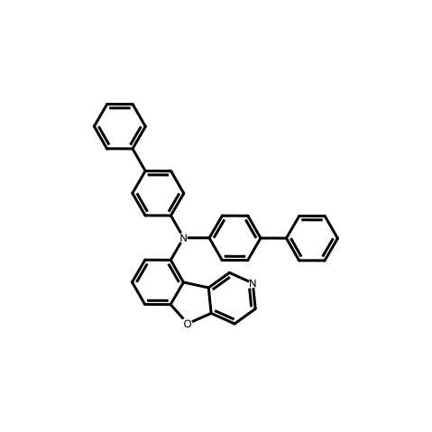 c1ccc(-c2ccc(N(c3ccc(-c4ccccc4)cc3)c3cccc4oc5ccncc5c34)cc2)cc1